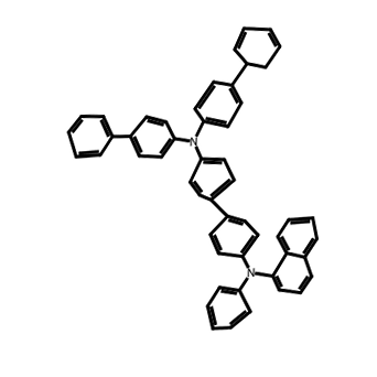 C1=CCC(c2ccc(N(c3ccc(-c4ccccc4)cc3)c3ccc(-c4ccc(N(c5ccccc5)c5cccc6ccccc56)cc4)cc3)cc2)C=C1